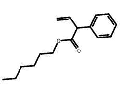 C=CC(C(=O)OCCCCCC)c1ccccc1